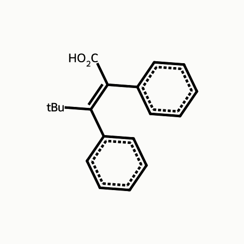 CC(C)(C)C(=C(C(=O)O)c1ccccc1)c1ccccc1